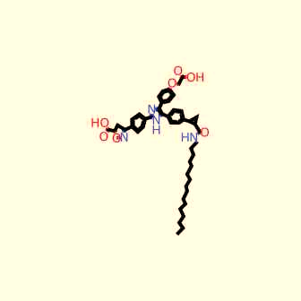 CCCCCCCCCCCCCCCCNC(=O)C1CC1c1ccc(-c2[nH]c(-c3ccc(C4=NOC(C(=O)O)C4)cc3)nc2-c2ccc(OCC(=O)O)cc2)cc1